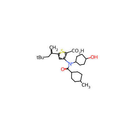 C=C(CC(C)(C)C)c1cc(N(C(=O)C2CCC(C)CC2)C2CCC(O)CC2)c(C(=O)O)s1